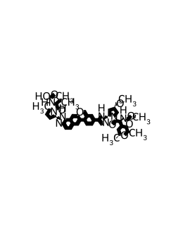 COC[C@H]1C[C@@H](c2ncc(C3=CC4=COC5=CC6C(=CC=C7N=C([C@@H]8CC[C@H](C)N8C(=O)[C@@H](NC(=O)O)C(C)C)NC76)C=C5C4C=C3)[nH]2)N(C(=O)[C@@H](NC(=O)OC)C2C[C@@H](C)O[C@H](C)C2)C1